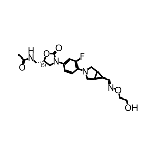 CC(=O)NC[C@H]1CN(c2ccc(N3CC4C(C=NOCCO)C4C3)c(F)c2)C(=O)O1